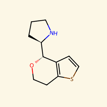 c1cc2c(s1)CCO[C@@H]2[C@H]1CCCN1